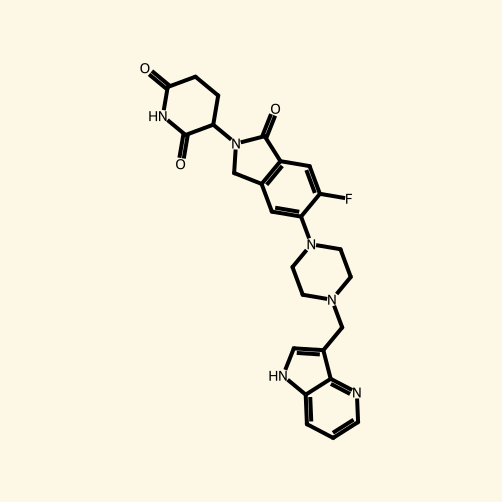 O=C1CCC(N2Cc3cc(N4CCN(Cc5c[nH]c6cccnc56)CC4)c(F)cc3C2=O)C(=O)N1